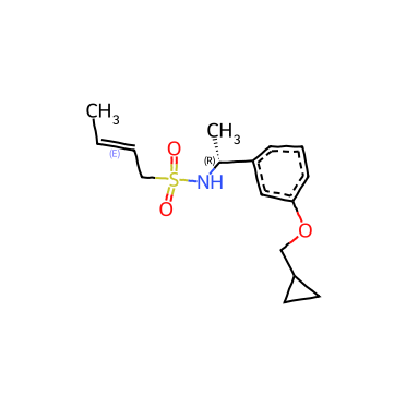 C/C=C/CS(=O)(=O)N[C@H](C)c1cccc(OCC2CC2)c1